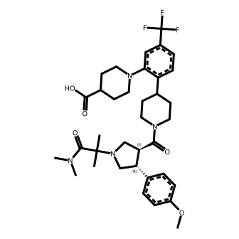 COc1ccc([C@@H]2CN(C(C)(C)C(=O)N(C)C)C[C@H]2C(=O)N2CCC(c3ccc(C(F)(F)F)cc3N3CCC(C(=O)O)CC3)CC2)cc1